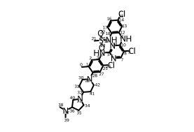 Cc1cc(Nc2ncc(Cl)c(Nc3cc(Cl)ccc3NS(C)(=O)=O)n2)c(Cl)cc1N1CCC(N2CCC(N(C)C)C2)CC1